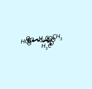 CO[Si](CCCSCCCOS(=O)(=O)O)(OC)OC